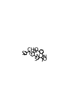 Cc1onc(-c2cccc(Br)c2)c1-c1csc(C2CCN(C(C=O)c3ccsc3)CC2)n1